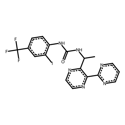 CC(NC(=O)Nc1ccc(C(F)(F)F)cc1I)c1nccnc1-c1ncccn1